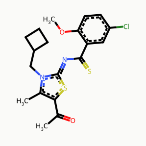 COc1ccc(Cl)cc1C(=S)/N=c1\sc(C(C)=O)c(C)n1CC1CCC1